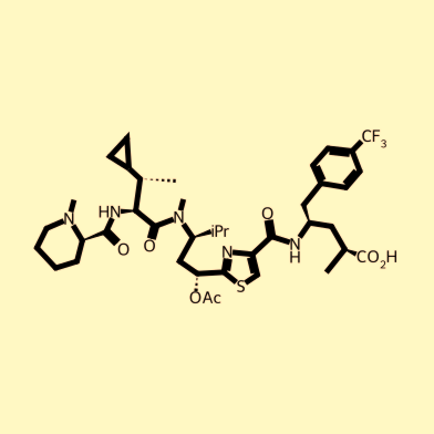 CC(=O)O[C@H](C[C@H](C(C)C)N(C)C(=O)[C@@H](NC(=O)[C@H]1CCCCN1C)[C@@H](C)C1CC1)c1nc(C(=O)N[C@@H](Cc2ccc(C(F)(F)F)cc2)C[C@H](C)C(=O)O)cs1